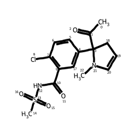 CC(=O)C1(c2ccc(Cl)c(C(=O)NS(C)(=O)=O)c2)CC=CN1C